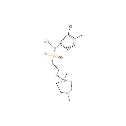 Cc1ccc(N(O)S(=O)(=O)CCC[N+]2(C)CCN(C)CC2)cc1Cl